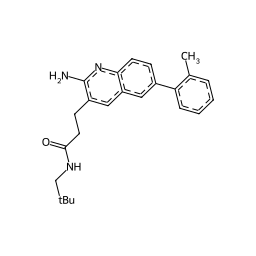 Cc1ccccc1-c1ccc2nc(N)c(CCC(=O)NCC(C)(C)C)cc2c1